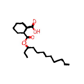 CCCCCCCCCC(CC)OC(=O)C1CCCCC1C(=O)O